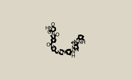 Cc1cccc(C)c1Nc1nn(C)c2nc(Nc3ccc(N4CCN(CC5CCN(C(=O)c6ccc7c(c6)CN(C6CCC(=O)NC6=O)C7=O)CC5)CC4)cc3)ncc12